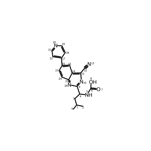 CC(C)CC(NC(=O)O)c1nc(C#N)c2cc(-c3ccncc3)ccc2n1